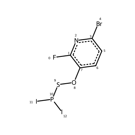 Fc1nc(Br)ccc1OSP(I)I